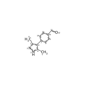 Cc1n[nH]c(C)c1-c1ccc(C=O)cc1